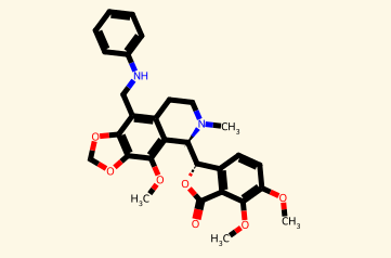 COc1ccc2c(c1OC)C(=O)O[C@@H]2[C@H]1c2c(c(CNc3ccccc3)c3c(c2OC)OCO3)CCN1C